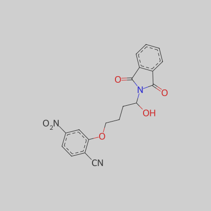 N#Cc1ccc([N+](=O)[O-])cc1OCCCC(O)N1C(=O)c2ccccc2C1=O